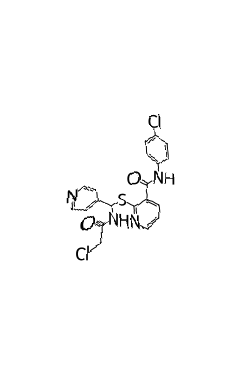 O=C(CCl)NC(Sc1ncccc1C(=O)Nc1ccc(Cl)cc1)c1ccncc1